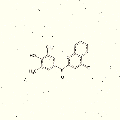 Cc1cc(C(=O)c2cc(=O)c3ccccc3o2)cc(C)c1O